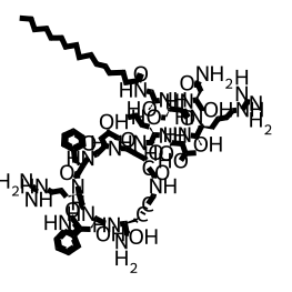 CCCCCCCCCCCCCCCC(=O)NC[C@@H](O)N[C@@H](CO)C(=O)N[C@@H](CC(N)=O)[C@H](O)N[C@@H](CCCCNC(=N)N)[C@H](O)N[C@@H](C(C)O)[C@H](O)N[C@@H](CCCC)C(=O)N[C@H]1CCC(=O)NCCCC[C@@H]([C@@H](N)O)N[C@@H](O)[C@H](Cc2c[nH]c3ccccc23)NC(=O)[C@H](CCCNC(=N)N)NC(=O)[C@@H](Cc2ccccc2)NC(=O)[C@@H]2C[C@@H](O)CN2C1=O